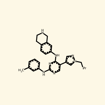 Cc1cccc(Nc2ncc(-c3cnn(CC(C)C)c3)c(Nc3ccc4c(c3)CNCC4)n2)c1